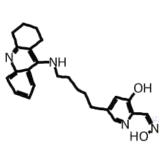 O/N=C\c1ncc(CCCCCNc2c3c(nc4ccccc24)CCCC3)cc1O